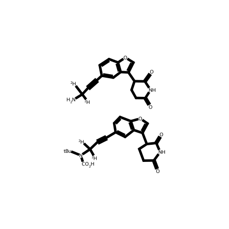 [2H]C([2H])(C#Cc1ccc2occ(C3CCC(=O)NC3=O)c2c1)N(C(=O)O)C(C)(C)C.[2H]C([2H])(N)C#Cc1ccc2occ(C3CCC(=O)NC3=O)c2c1